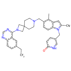 Cc1c(CN2CCC3(CC2)CN(c2ncnc4ccc(CC(F)(F)F)cc24)C3)ccc2c1cc(C#N)n2Cc1ccc(=O)[nH]c1